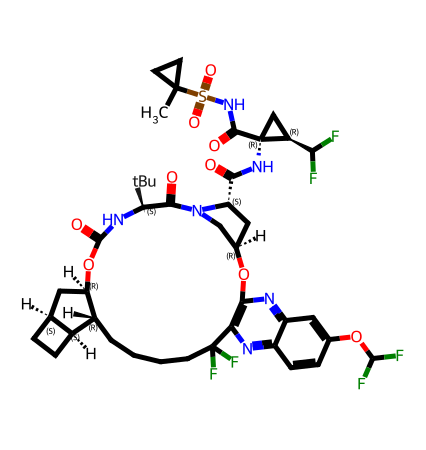 CC(C)(C)[C@@H]1NC(=O)O[C@@H]2C[C@@H]3CC[C@@H]3[C@H]2CCCCC(F)(F)c2nc3ccc(OC(F)F)cc3nc2O[C@@H]2C[C@@H](C(=O)N[C@]3(C(=O)NS(=O)(=O)C4(C)CC4)C[C@H]3C(F)F)N(C2)C1=O